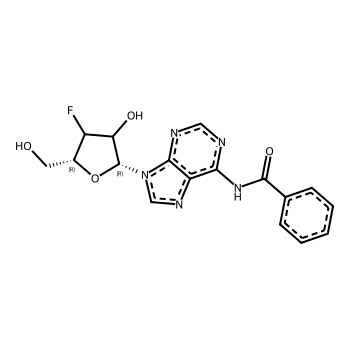 O=C(Nc1ncnc2c1ncn2[C@@H]1O[C@H](CO)C(F)C1O)c1ccccc1